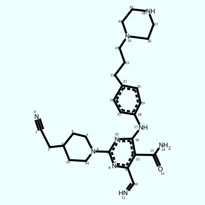 N#CCC1CCN(c2nc(C=N)c(C(N)=O)c(Nc3ccc(CCCN4CCNCC4)cc3)n2)CC1